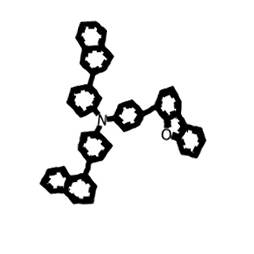 c1cc(-c2ccc3ccccc3c2)cc(N(c2ccc(-c3cccc4ccccc34)cc2)c2ccc(-c3cccc4c3oc3ccccc34)cc2)c1